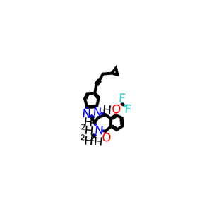 [2H]C([2H])([2H])N1C(=O)c2cccc(OC(F)F)c2[C@H]2C[C@@H]1c1nc3ccc(C#CCC4CC4)cc3n12